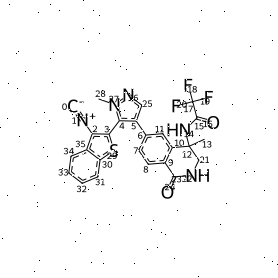 [C-]#[N+]c1c(-c2c(-c3ccc4c(c3)C(C)(NC(=O)C(F)(F)F)CNC4=O)cnn2C)sc2ccccc12